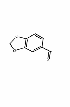 S=[C]c1ccc2c(c1)OCO2